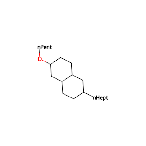 CCCCCCCC1CCC2CC(OCCCCC)CCC2C1